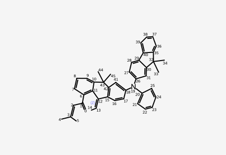 C=C(C=C(C)C)c1cccc2c1/C(=C\C)c1ccc(N(c3ccccc3)c3ccc4c(c3)C(C)(C)c3ccccc3-4)cc1C2(C)C